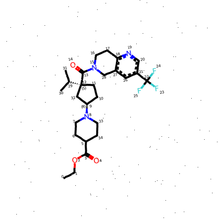 CCOC(=O)C1CCN([C@@H]2CC[C@@](C(=O)N3CCc4ncc(C(F)(F)F)cc4C3)(C(C)C)C2)CC1